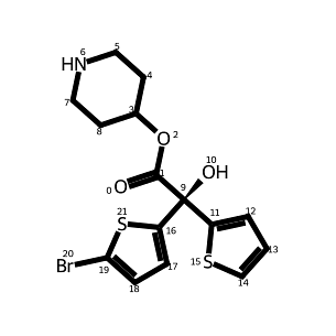 O=C(OC1CCNCC1)[C@](O)(c1cccs1)c1ccc(Br)s1